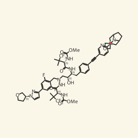 COC(=O)N[C@H](C(=O)N[C@@H](Cc1ccc(C#Cc2ccc(N3CC4CCC(C3)N4C3COC3)nc2)cc1)[C@@H](O)CN(Cc1c(F)cc(-c2ccn([C@H]3CCOC3)n2)cc1F)NC(=O)[C@@H](NC(=O)OC)C(C)(C)C(F)(F)F)C(C)(C)C(F)(F)F